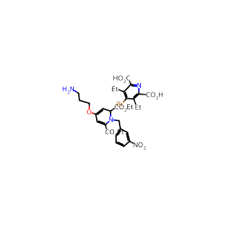 CCOC(=O)C1=CC(OCCCN)=CC(C(=O)OCC)N1Cc1cccc([N+](=O)[O-])c1.CCc1c(C(=O)O)nc(C(=O)O)c(CC)c1Br